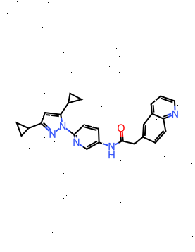 O=C(Cc1ccc2ncccc2c1)Nc1ccc(-n2nc(C3CC3)cc2C2CC2)nc1